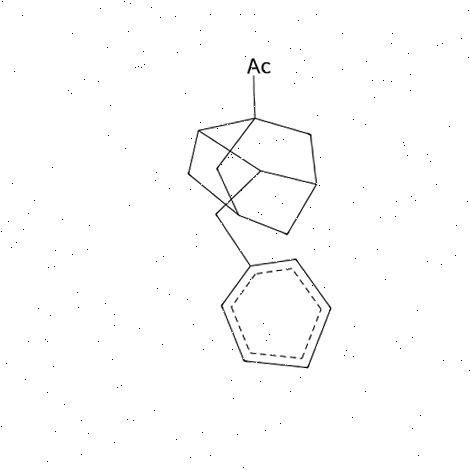 CC(=O)C12CC3CC(C1)C(Cc1ccccc1)C2C3